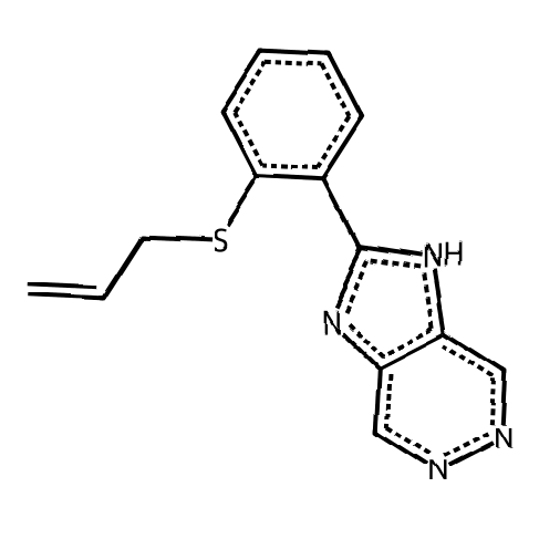 C=CCSc1ccccc1-c1nc2cnncc2[nH]1